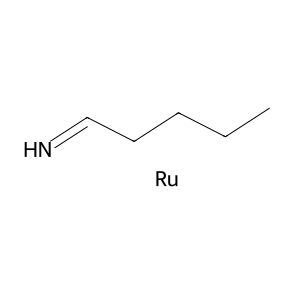 CCCCC=N.[Ru]